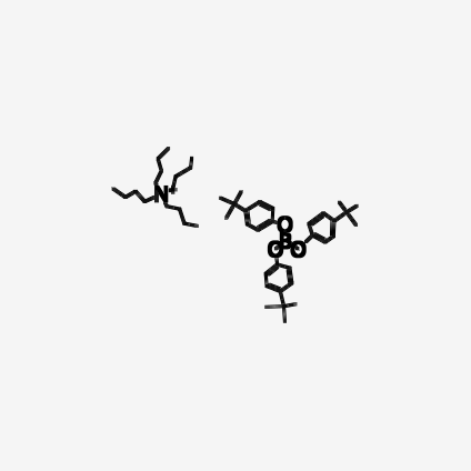 CC(C)(C)c1ccc(OB(Oc2ccc(C(C)(C)C)cc2)Oc2ccc(C(C)(C)C)cc2)cc1.CCCC[N+](CCCC)(CCCC)CCCC